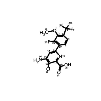 COc1c(C(F)(F)F)ccc(-c2cc(N)c(Cl)c(C(=O)O)n2)c1F